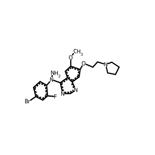 COc1cc2c(N(N)c3ccc(Br)cc3F)ncnc2cc1OCCN1CCCC1